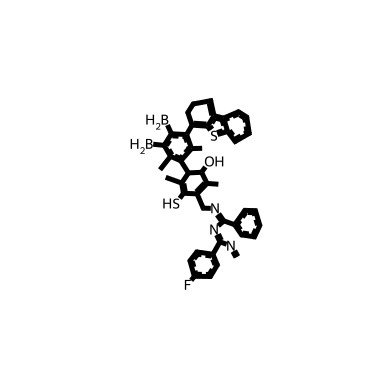 Bc1c(B)c(C2=c3sc4ccccc4c3=CCC2)c(C)c(C2C(C)=C(S)C(C/N=C(\N=C(/N=C)c3ccc(F)cc3)c3ccccc3)=C(C)C2O)c1C